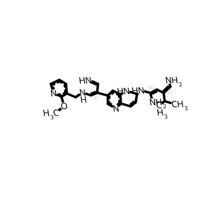 COc1ncccc1CN/C=C(\C=N)c1cnc2c(c1)NC(N/C(N)=C/C(=C\N)C(C)C)C=C2